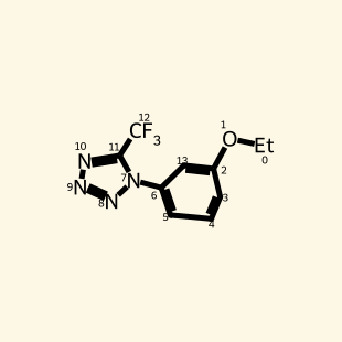 CCOc1cccc(-n2nnnc2C(F)(F)F)c1